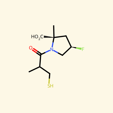 CC(CS)C(=O)N1C[C@H](F)C[C@]1(C)C(=O)O